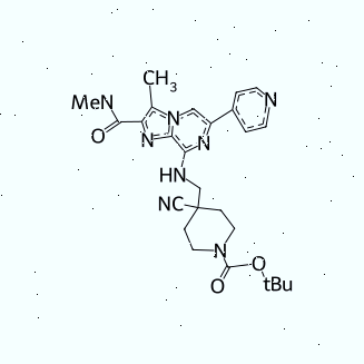 CNC(=O)c1nc2c(NCC3(C#N)CCN(C(=O)OC(C)(C)C)CC3)nc(-c3ccncc3)cn2c1C